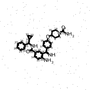 N=C(c1ccc(OC2CCN(C(N)=O)CC2)cc1)c1cc(C(=O)NC(c2ccccc2)C2CC2)ccc1N